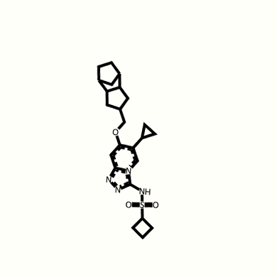 O=S(=O)(Nc1nnc2cc(OCC3CC4C5CCC(C5)C4C3)c(C3CC3)cn12)C1CCC1